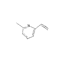 C=Cc1cccc(C)n1